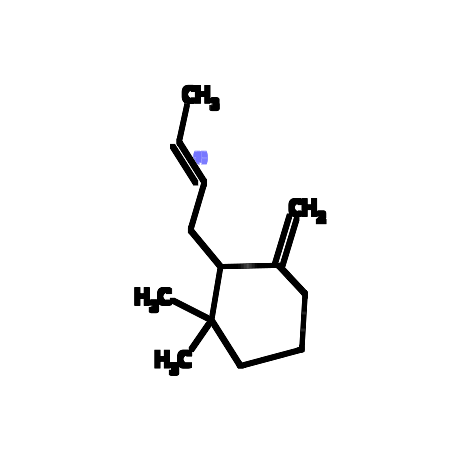 C=C1CCCC(C)(C)C1C/C=C/C